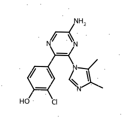 Cc1ncn(-c2nc(N)cnc2-c2ccc(O)c(Cl)c2)c1C